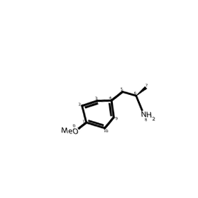 COc1ccc(C[C@@H](C)N)cc1